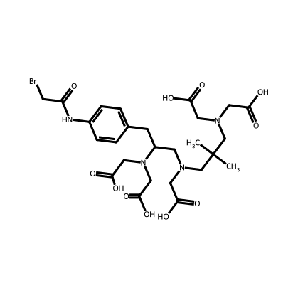 CC(C)(CN(CC(=O)O)CC(=O)O)CN(CC(=O)O)CC(Cc1ccc(NC(=O)CBr)cc1)N(CC(=O)O)CC(=O)O